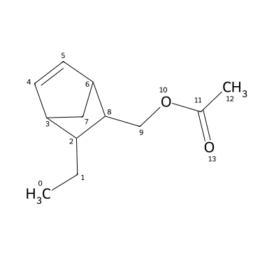 CCC1C2C=CC(C2)C1COC(C)=O